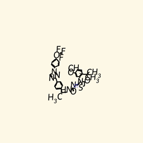 COc1ccc(C(C)C)c(N2C(=O)CS/C2=N\C(=O)NCC(C)c2ccc(-c3ncn(-c4ccc(OC(F)(F)F)cc4)n3)cc2)c1